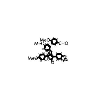 COc1ccc(C=O)cc1.COc1ccc(CC2=C(c3ccc4nonc4c3)C(=O)OC2(O)c2ccc(OC)cc2)cc1